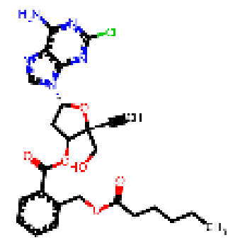 C#C[C@]1(CO)O[C@@H](n2cnc3c(N)nc(Cl)nc32)C[C@@H]1OC(=O)c1ccccc1COC(=O)CCCCC